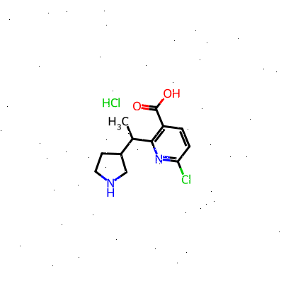 CC(c1nc(Cl)ccc1C(=O)O)C1CCNC1.Cl